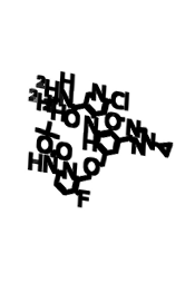 [2H]C([2H])([2H])NC(=O)c1cnc(Cl)cc1Nc1cc(COCc2nc(NC(=O)OC(C)(C)C)ccc2F)cc(-c2ncn(C3CC3)n2)c1OC